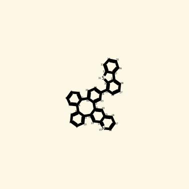 c1ccc2c(c1)-c1ccccc1-c1cc3ncccc3cc1-c1cc(-c3cccc4c3sc3ccccc34)ccc1-2